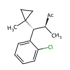 CC(=O)[C@@H](C)[C@H](c1ccccc1Cl)C1(C)CC1